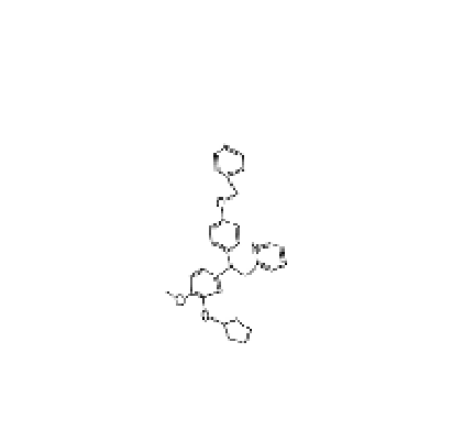 COc1ccc(C(Cc2ccccn2)c2ccc(OCc3ccccc3)cc2)cc1OC1CCCC1